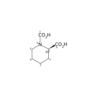 O=C(O)[C@H]1CCCCN1C(=O)O